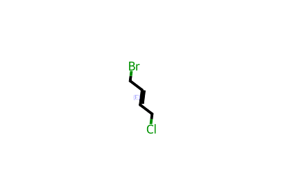 ClC/C=C/CBr